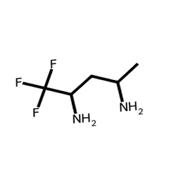 CC(N)CC(N)C(F)(F)F